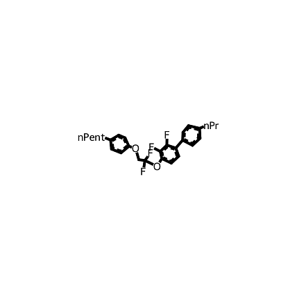 CCCCCc1ccc(OCC(F)(F)Oc2ccc(-c3ccc(CCC)cc3)c(F)c2F)cc1